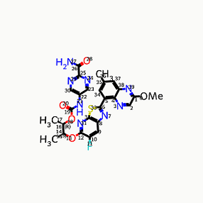 COc1cnc2c(-c3nc4cc(F)c(O[C@@H](C)[C@@H](C)OC(=O)Nc5cnc(C(N)=O)nc5)nc4s3)cc(C)cc2n1